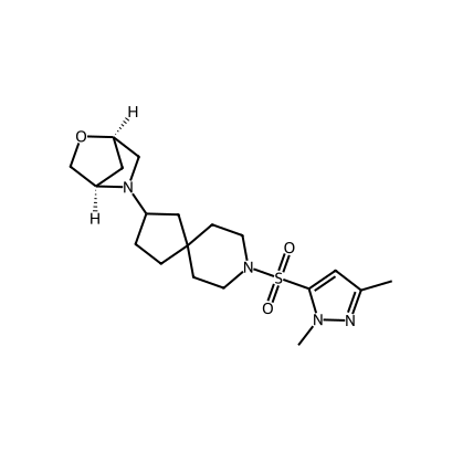 Cc1cc(S(=O)(=O)N2CCC3(CCC(N4C[C@H]5C[C@@H]4CO5)C3)CC2)n(C)n1